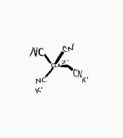 N#[C][Cu-2]([C]#N)([C]#N)[C]#N.[K+].[K+]